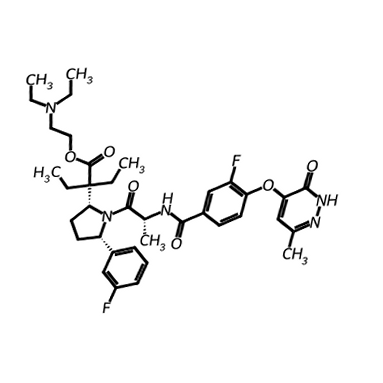 CCN(CC)CCOC(=O)C(CC)(CC)[C@H]1CC[C@@H](c2cccc(F)c2)N1C(=O)[C@@H](C)NC(=O)c1ccc(Oc2cc(C)n[nH]c2=O)c(F)c1